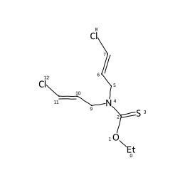 CCOC(=S)N(CC=CCl)CC=CCl